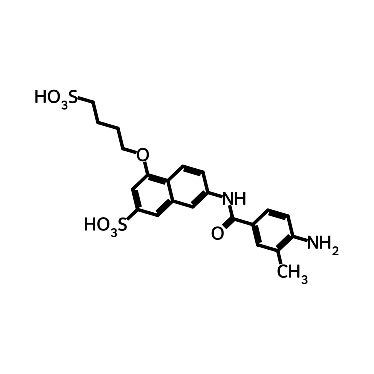 Cc1cc(C(=O)Nc2ccc3c(OCCCCS(=O)(=O)O)cc(S(=O)(=O)O)cc3c2)ccc1N